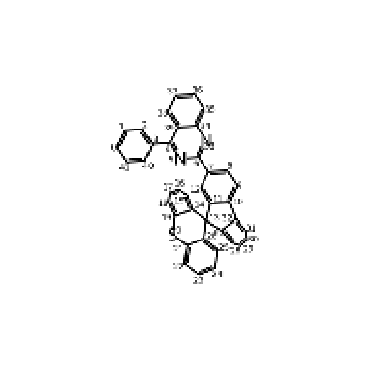 c1ccc(-c2nc(-c3ccc4c(c3)C3(c5ccccc5Sc5ccccc53)c3ccccc3-4)nc3ccccc23)cc1